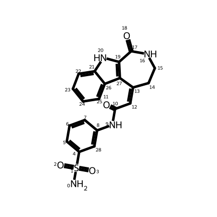 NS(=O)(=O)c1cccc(NC(=O)/C=C2/CCNC(=O)c3[nH]c4ccccc4c32)c1